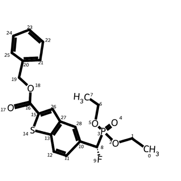 CCOP(=O)(OCC)[C@H](F)c1ccc2sc(C(=O)OCc3ccccc3)cc2c1